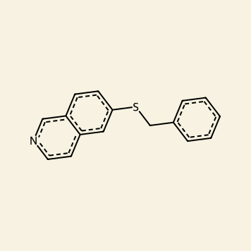 c1ccc(CSc2ccc3cnccc3c2)cc1